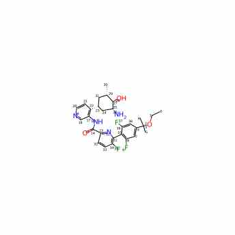 CCOC(C)(C)c1cc(F)c(-c2nc(C(=O)Nc3cnccc3[C@H]3C[C@@H](N)[C@H](O)[C@@H](C)C3)ccc2F)c(F)c1